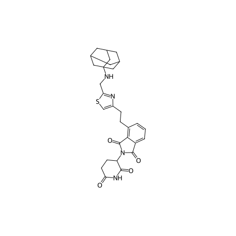 O=C1CCC(N2C(=O)c3cccc(CCc4csc(CNC56CC7CC(CC(C7)C5)C6)n4)c3C2=O)C(=O)N1